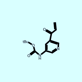 C=CC(=O)c1cncc(NC(=O)OC(C)(C)C)c1